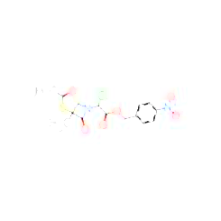 CC(=O)SC1(C)CN(C(Cl)C(=O)OCc2ccc([N+](=O)[O-])cc2)C1=O